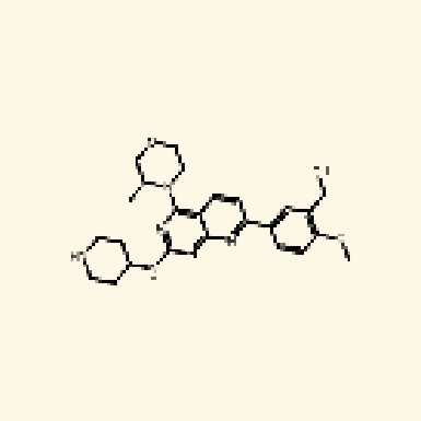 COc1ccc(-c2ccc3c(N4CCOC[C@@H]4C)nc(NC4CCNCC4)nc3n2)cc1CO